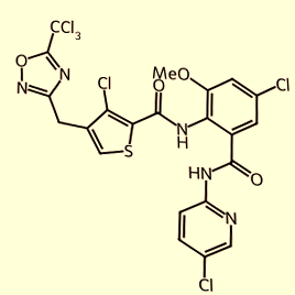 COc1cc(Cl)cc(C(=O)Nc2ccc(Cl)cn2)c1NC(=O)c1scc(Cc2noc(C(Cl)(Cl)Cl)n2)c1Cl